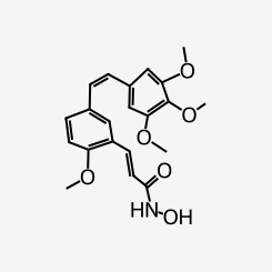 COc1ccc(/C=C\c2cc(OC)c(OC)c(OC)c2)cc1/C=C/C(=O)NO